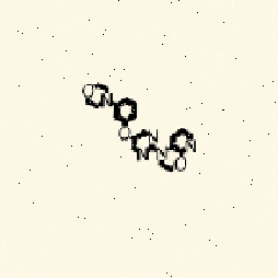 c1cc(Oc2cnc(N3CCOc4ncccc43)nc2)cc(N2CCOCC2)c1